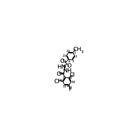 Cc1ccc(S(=O)(=O)NNC(=O)c2c(Cl)cc(F)cc2Cl)cc1